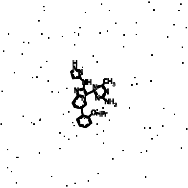 Cc1nc(N)nc(-c2c(Nc3cc[nH]n3)nc3ccc(-c4ccccc4OC(C)C)cn23)n1